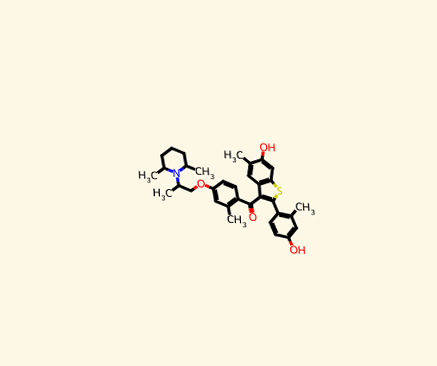 Cc1cc2c(C(=O)c3ccc(OCC(C)N4C(C)CCCC4C)cc3C)c(-c3ccc(O)cc3C)sc2cc1O